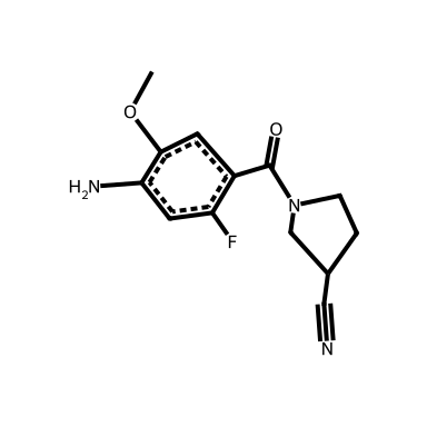 COc1cc(C(=O)N2CCC(C#N)C2)c(F)cc1N